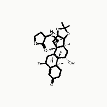 CC1(C)O[C@@H]2C[C@H]3[C@@H]4C[C@H](F)C5=CC(=O)CC[C@]5(C)[C@@]4(F)[C@@H](O)C[C@]3(C)[C@]2(C(=O)SC2CCOC2=O)O1